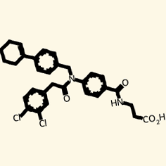 O=C(O)CCNC(=O)c1ccc(N(Cc2ccc(C3=CCCCC3)cc2)C(=O)Cc2ccc(Cl)c(Cl)c2)cc1